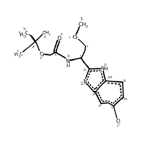 COCC(NC(=O)OC(C)(C)C)c1nc2cc(Cl)ccc2[nH]1